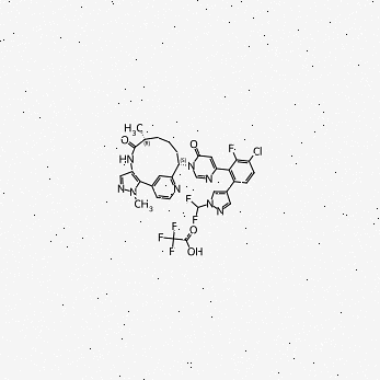 C[C@@H]1CCC[C@H](n2cnc(-c3c(-c4cnn(C(F)F)c4)ccc(Cl)c3F)cc2=O)c2cc(ccn2)-c2c(cnn2C)NC1=O.O=C(O)C(F)(F)F